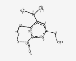 CN(C)c1cc(CO)nc2c1CCCC2=O